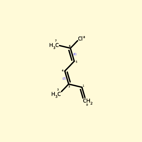 C=C/C(C)=C\C=C(/C)Cl